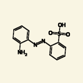 Nc1ccccc1/N=N/c1ccccc1S(=O)(=O)O